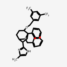 Cc1c[nH]c(C2CC3(c4ccccc4)C(OCc4cc(C(F)(F)F)cc(C(F)(F)F)c4)CCC2N3Cc2ccccc2)n1